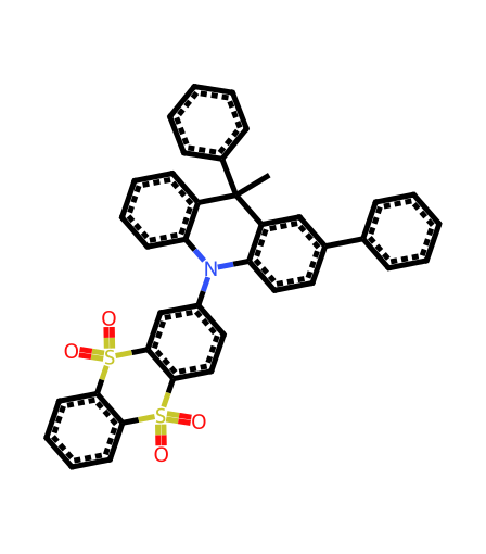 CC1(c2ccccc2)c2ccccc2N(c2ccc3c(c2)S(=O)(=O)c2ccccc2S3(=O)=O)c2ccc(-c3ccccc3)cc21